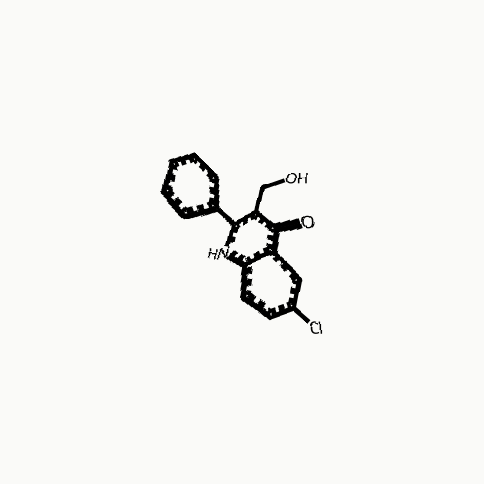 O=c1c(CO)c(-c2ccccc2)[nH]c2ccc(Cl)cc12